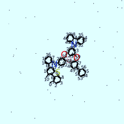 Cc1cccc2sc3c(c(C)cc4c5ccccc5n(-c5ccc6c(c5)Oc5cc(-n7c8ccccc8c8ccccc87)cc7c5B6c5ccc(-c6ccccc6)cc5O7)c43)c12